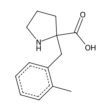 Cc1ccccc1CC1(C(=O)O)CCCN1